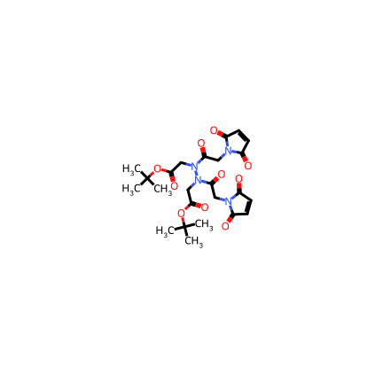 CC(C)(C)OC(=O)CN(C(=O)CN1C(=O)C=CC1=O)N(CC(=O)OC(C)(C)C)C(=O)CN1C(=O)C=CC1=O